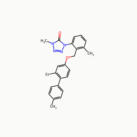 CCc1cc(OCc2c(C)cccc2-n2nnn(C)c2=O)ccc1-c1ccc(C)cc1